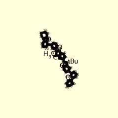 CC(C)(C)c1c(-c2ccc3c(c2)C(C)(C)c2c-3oc3ccc(-c4cccc5c6c(oc45)C=CCC6)cc23)oc2ccc(-c3cccc4c3oc3ccccc34)cc12